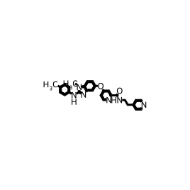 Cc1ccc(Nc2nc3cc(Oc4ccnc(C(=O)NCCc5ccncc5)c4)ccc3n2C)cc1